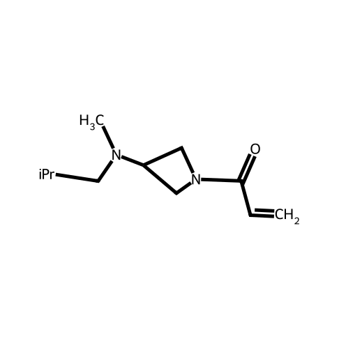 C=CC(=O)N1CC(N(C)CC(C)C)C1